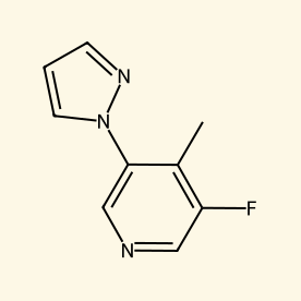 Cc1c(F)cncc1-n1cccn1